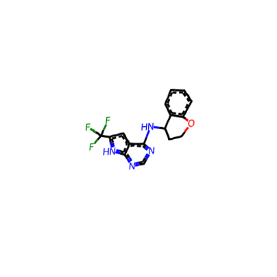 FC(F)(F)c1cc2c(NC3CCOc4ccccc43)ncnc2[nH]1